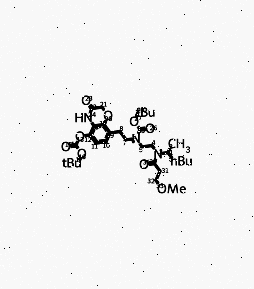 CCCCC(C)N(CCN(CCc1ccc(OC(=O)OC(C)(C)C)c2c1OCC(=O)N2)C(=O)OC(C)(C)C)C(=O)CCOC